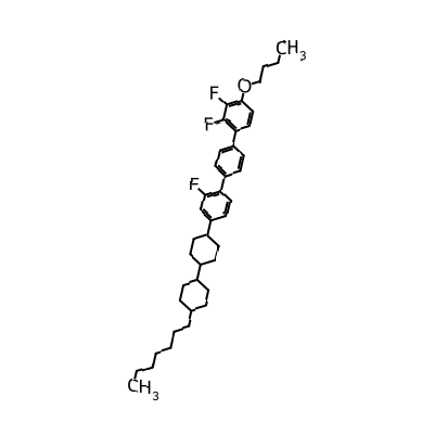 CCCCCCCC1CCC(C2CCC(c3ccc(-c4ccc(-c5ccc(OCCCC)c(F)c5F)cc4)c(F)c3)CC2)CC1